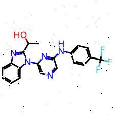 CC(O)c1nc2ccccc2n1-c1cncc(Nc2ccc(C(F)(F)F)cc2)n1